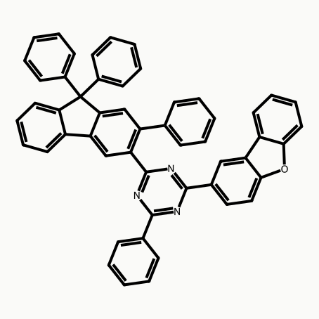 c1ccc(-c2nc(-c3ccc4oc5ccccc5c4c3)nc(-c3cc4c(cc3-c3ccccc3)C(c3ccccc3)(c3ccccc3)c3ccccc3-4)n2)cc1